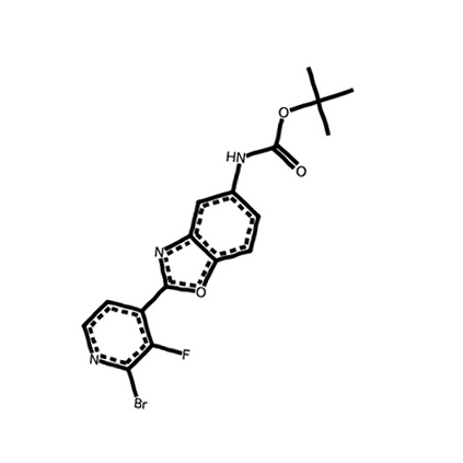 CC(C)(C)OC(=O)Nc1ccc2oc(-c3ccnc(Br)c3F)nc2c1